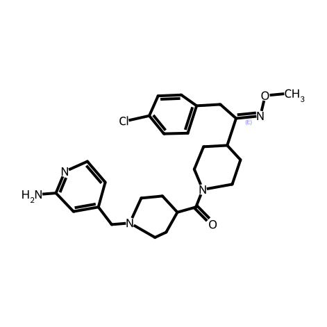 CO/N=C(\Cc1ccc(Cl)cc1)C1CCN(C(=O)C2CCN(Cc3ccnc(N)c3)CC2)CC1